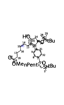 CCCCCC(O[Si](C)(C)C(C)(C)C)c1ccc([C@@H]2[C@@H](C/C=C\CCCC(=O)OC)[C@@H](O)C[C@H]2O[Si](C)(C)C(C)(C)C)cc1